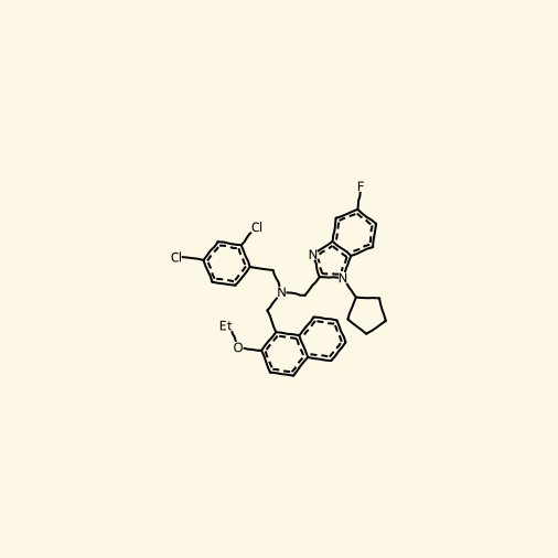 CCOc1ccc2ccccc2c1CN(Cc1ccc(Cl)cc1Cl)Cc1nc2cc(F)ccc2n1C1CCCC1